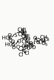 CC(C)(COCCS(=O)(=O)O)N(Cl)Cl.CC(C)(CS(=O)(=O)CCS(=O)(=O)O)N(Cl)Cl.CC(C)(CSCCS(=O)(=O)O)N(Cl)Cl.O=S(=O)(O)CC1(N(Cl)Cl)CCOCC1